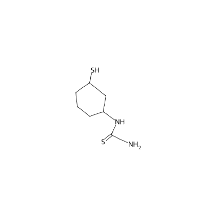 NC(=S)NC1CCCC(S)C1